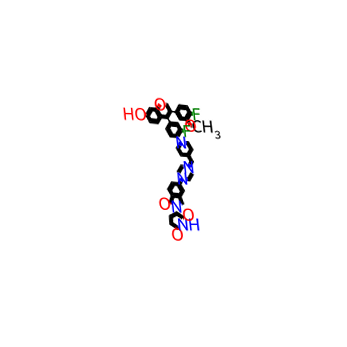 COc1cc([C@@H]2COc3cc(O)ccc3[C@@H]2c2ccc(N3CCC(CN4CCN(c5ccc6c(c5)CN([C@H]5CCC(=O)NC5=O)C6=O)CC4)CC3)c(F)c2)ccc1F